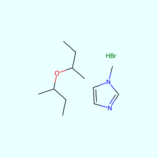 Br.CCC(C)OC(C)CC.Cn1ccnc1